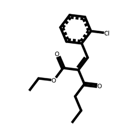 CCCC(=O)C(=Cc1ccccc1Cl)C(=O)OCC